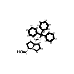 OC[C@@H]1CC[C@@]2(COC(c3ccccc3)(c3ccccc3)c3ccccc3)CCCN12